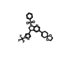 O=S(=O)(c1ccccc1)N1CC(c2cnn(C(F)(F)F)c2)c2cc(C3=CCC4(CC3)OCCO4)cnc21